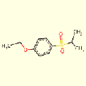 CCOc1ccc(S(=O)(=O)C(C)C)cc1